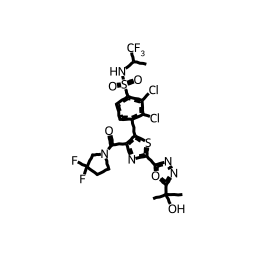 CC(NS(=O)(=O)c1ccc(-c2sc(-c3nnc(C(C)(C)O)o3)nc2C(=O)N2CCC(F)(F)C2)c(Cl)c1Cl)C(F)(F)F